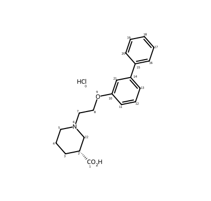 Cl.O=C(O)[C@@H]1CCCN(CCOc2cccc(-c3ccccc3)c2)C1